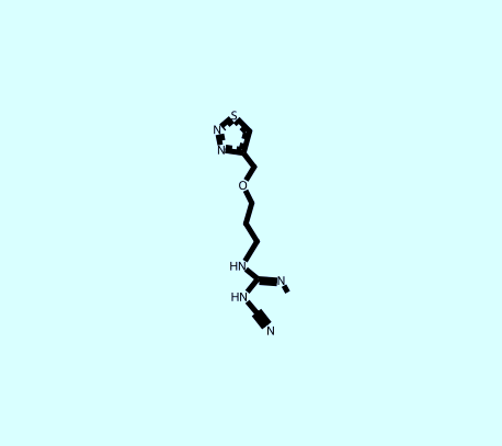 CN=C(NC#N)NCCCOCc1csnn1